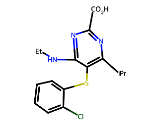 CCNc1nc(C(=O)O)nc(C(C)C)c1Sc1ccccc1Cl